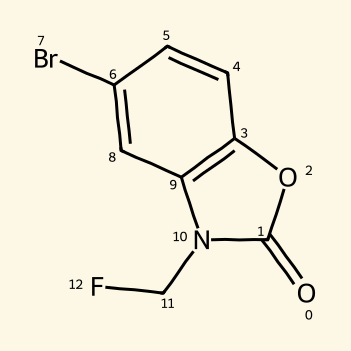 O=c1oc2ccc(Br)cc2n1CF